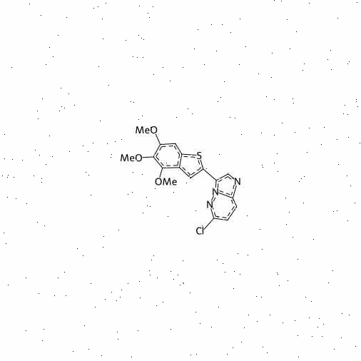 COc1cc2sc(-c3cnc4ccc(Cl)nn34)cc2c(OC)c1OC